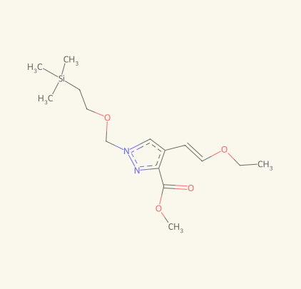 CCOC=Cc1cn(COCC[Si](C)(C)C)nc1C(=O)OC